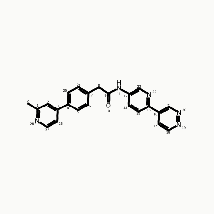 Cc1cc(-c2ccc(CC(=O)Nc3ccc(-c4ccnnc4)nc3)cc2)ccn1